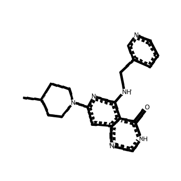 CC1CCN(c2cc3nc[nH]c(=O)c3c(NCc3cccnc3)n2)CC1